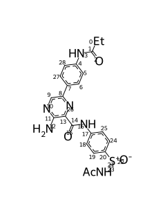 CCC(=O)Nc1ccc(-c2cnc(N)c(C(=O)Nc3ccc([S+]([O-])NC(C)=O)cc3)n2)cc1